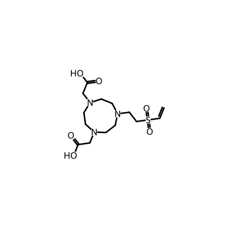 C=CS(=O)(=O)CCN1CCN(CC(=O)O)CCN(CC(=O)O)CC1